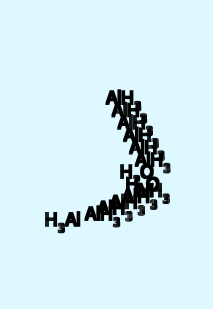 O.O.[AlH3].[AlH3].[AlH3].[AlH3].[AlH3].[AlH3].[AlH3].[AlH3].[AlH3].[AlH3].[AlH3].[AlH3]